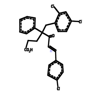 O=C(O)CCC(Cc1ccc(Cl)cc1Cl)(C(=O)/C=C/c1ccc(Cl)cc1)c1ccccc1